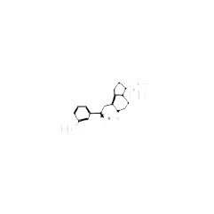 C[C@]12CCC(=O)C(CC(=O)c3cccc(O)c3)=C1CC[C@@H]2O